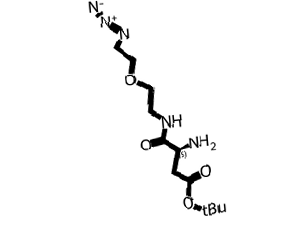 CC(C)(C)OC(=O)C[C@H](N)C(=O)NCCOCCN=[N+]=[N-]